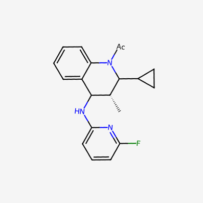 CC(=O)N1c2ccccc2C(Nc2cccc(F)n2)[C@@H](C)C1C1CC1